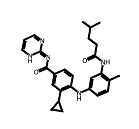 Cc1ccc(Nc2ccc(C(=O)N=c3nccc[nH]3)cc2C2CC2)cc1NC(=O)CCC(C)C